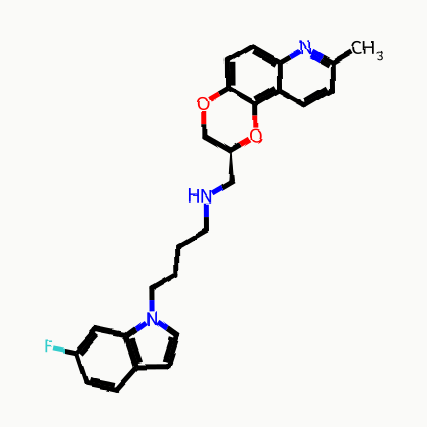 Cc1ccc2c3c(ccc2n1)OC[C@H](CNCCCCn1ccc2ccc(F)cc21)O3